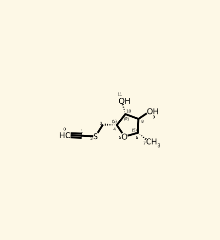 C#CSC[C@H]1O[C@@H](C)C(O)[C@H]1O